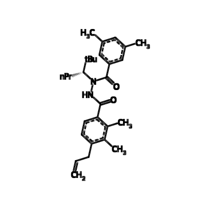 C=CCc1ccc(C(=O)NN(C(=O)c2cc(C)cc(C)c2)[C@H](CCC)C(C)(C)C)c(C)c1C